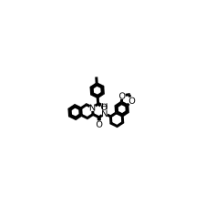 Cc1ccc(C(=O)N2Cc3ccccc3CC2C(=O)NC2CCCc3cc4c(cc32)OCO4)cc1